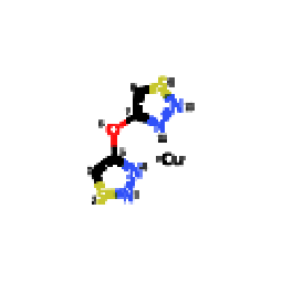 [Cu].c1snnc1Oc1csnn1